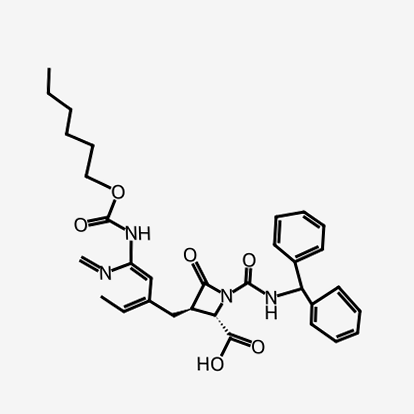 C=N/C(=C\C(=C/C)C[C@H]1C(=O)N(C(=O)NC(c2ccccc2)c2ccccc2)[C@@H]1C(=O)O)NC(=O)OCCCCCC